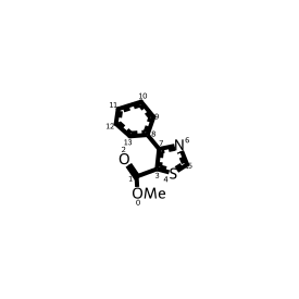 COC(=O)c1s[c]nc1-c1ccccc1